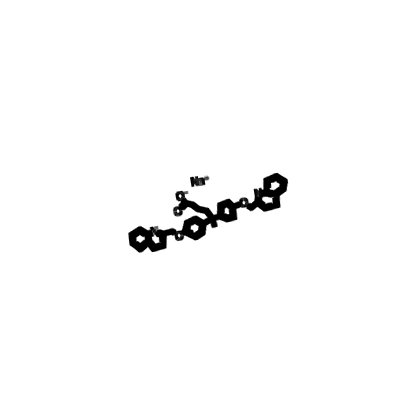 CC(CCCC(=O)[O-])(c1ccc(OCc2ccc3ccccc3n2)cc1)c1ccc(OCc2ccc3ccccc3n2)cc1.[Na+]